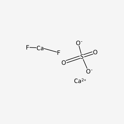 O=S(=O)([O-])[O-].[Ca+2].[F][Ca][F]